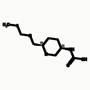 CSCOC[C@@H]1CC[C@@H](NC(=O)O)CO1